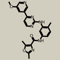 COc1cncc(-c2ccnc(Nc3cc(NC(=O)c4nc(C)oc4C)ccc3C)n2)c1